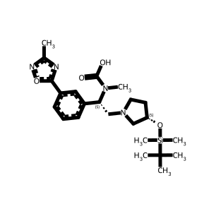 Cc1noc(-c2cccc([C@@H](CN3CC[C@H](O[Si](C)(C)C(C)(C)C)C3)N(C)C(=O)O)c2)n1